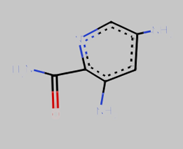 NC(=O)c1ncc(N)cc1N